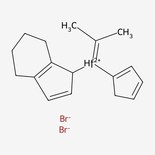 C[C](C)=[Hf+2]([C]1=CC=CC1)[CH]1C=CC2=C1CCCC2.[Br-].[Br-]